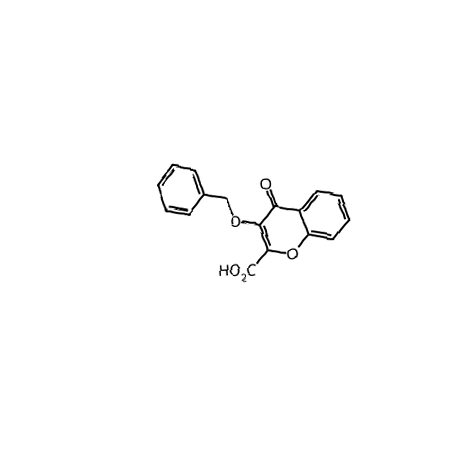 O=C(O)c1oc2ccccc2c(=O)c1OCc1ccccc1